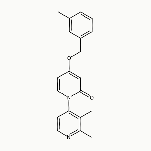 Cc1cccc(COc2ccn(-c3ccnc(C)c3C)c(=O)c2)c1